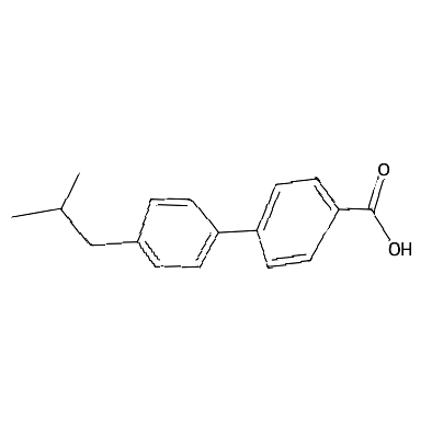 CC(C)Cc1ccc(-c2ccc(C(=O)O)cc2)cc1